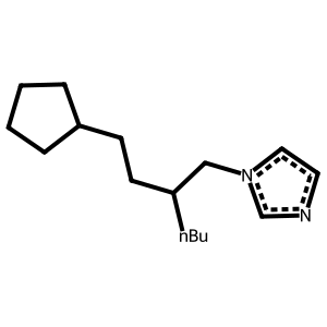 CCCCC(CCC1CCCC1)Cn1ccnc1